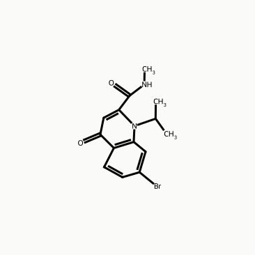 CNC(=O)c1cc(=O)c2ccc(Br)cc2n1C(C)C